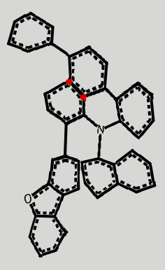 c1ccc(-c2ccc(-c3ccccc3N(c3ccccc3-c3ccc4c(c3)oc3ccccc34)c3cccc4ccccc34)cc2)cc1